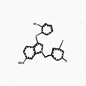 CNc1ccc2c(Sc3ccccc3C#N)cn(Cc3cc(F)cc(F)c3)c2c1